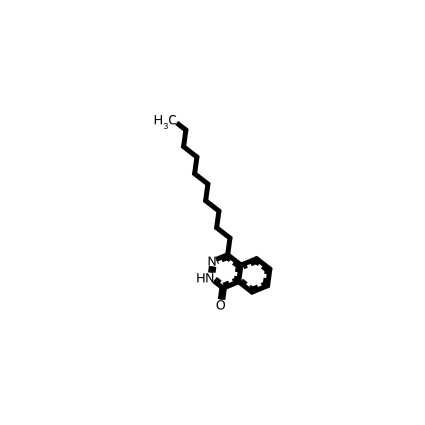 CCCCCCCCCCc1n[nH]c(=O)c2ccccc12